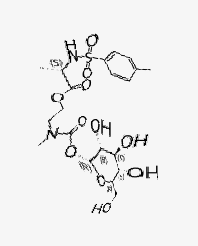 Cc1ccc(S(=O)(=O)N[C@@H](C)C(=O)OCCN(C)C(=O)O[C@H]2O[C@H](CO)[C@@H](O)[C@H](O)[C@H]2O)cc1